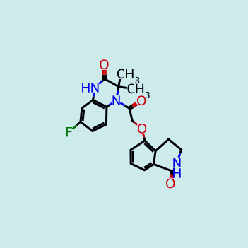 CC1(C)C(=O)Nc2cc(F)ccc2N1C(=O)COc1cccc2c1CCNC2=O